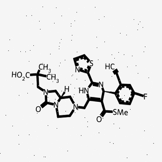 C#Cc1cc(F)ccc1[C@@H]1N=C(c2nccs2)NC(CN2CCN3C(=O)N(CC(C)(C)C(=O)O)C[C@@H]3C2)=C1C(=O)SC